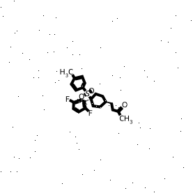 CC(=O)CC[C@H]1CC[C@@](c2cc(F)ccc2F)(S(=O)(=O)c2ccc(C)cc2)CC1